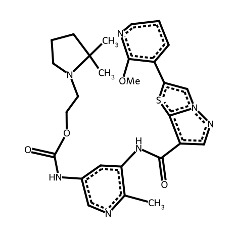 COc1ncccc1-c1cn2ncc(C(=O)Nc3cc(NC(=O)OCCN4CCCC4(C)C)cnc3C)c2s1